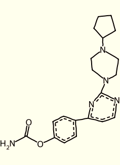 NC(=O)Oc1ccc(-c2ccnc(N3CCN(C4CCCC4)CC3)n2)cc1